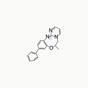 CC1CN2C=CC=N/C2=N/c2ccc(-c3ccccc3)cc2O1